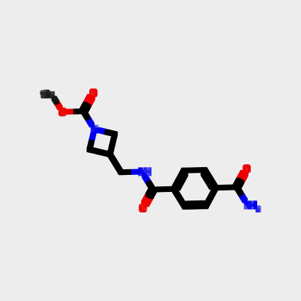 CC(C)(C)OC(=O)N1CC(CNC(=O)c2ccc(C(N)=O)cc2)C1